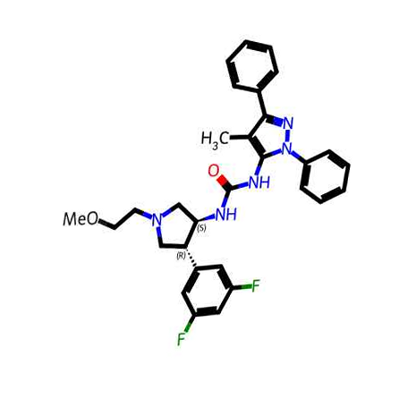 COCCN1C[C@@H](NC(=O)Nc2c(C)c(-c3ccccc3)nn2-c2ccccc2)[C@H](c2cc(F)cc(F)c2)C1